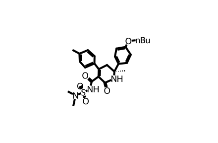 CCCCOc1ccc([C@]2(C)CC(c3ccc(C)cc3)=C(C(=O)NS(=O)(=O)N(C)C)C(=O)N2)cc1